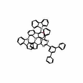 c1ccc(-c2cc(-c3ccccc3)cc(-c3nc(-c4ccccc4)nc(-c4ccccc4-n4c5cccc(-n6c7ccccc7c7ccccc76)c5c5cccc(-n6c7ccccc7c7ccccc76)c54)n3)c2)cc1